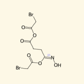 O=C(CBr)OC(=O)CC/C(=N/O)OC(=O)CBr